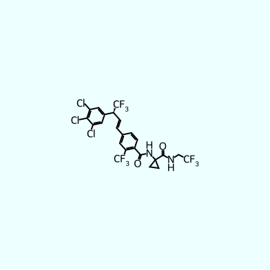 O=C(NC1(C(=O)NCC(F)(F)F)CC1)c1ccc(/C=C/[C@@H](c2cc(Cl)c(Cl)c(Cl)c2)C(F)(F)F)cc1C(F)(F)F